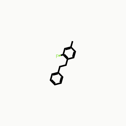 Cc1ccc(CCc2ccccc2)c(F)c1